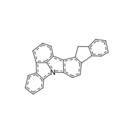 c1ccc2c(c1)Cc1c-2ccc2c1c1cccc3c4ccccc4n2c31